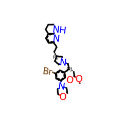 COC(=O)C[C@@H](CN1CC[C@@H](CCc2ccc3c(n2)NCCC3)C1)c1cc(Br)cc(N2CCOCC2)c1